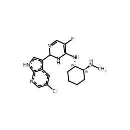 CN[C@H]1CCCC[C@@H]1NC1=C(F)C=NC(c2c[nH]c3ncc(Cl)cc23)N1